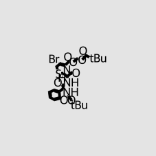 CC(C)(C)OC(=O)NC(C(=O)NC1C(=O)N2C(C(=O)OCOC(=O)C(C)(C)C)=C(Br)CS[C@H]12)c1ccccc1